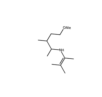 COCCC(C)C(C)NC(C)=C(C)C